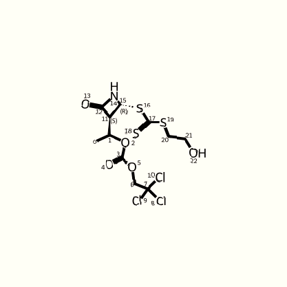 CC(OC(=O)OCC(Cl)(Cl)Cl)[C@H]1C(=O)N[C@@H]1SC(=S)SCCO